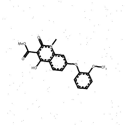 COC(=O)c1c(O)c2ccc(Oc3ccccc3OC(F)(F)F)cc2n(C)c1=O